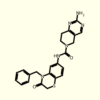 Nc1ncc2c(n1)CCN(C(=O)Nc1ccc3c(c1)N(Cc1ccccc1)C(=O)CS3)C2